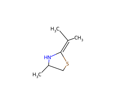 CC(C)=C1NC(C)CS1